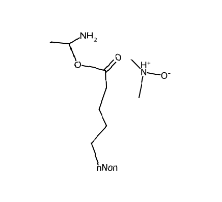 CCCCCCCCCCCCCC(=O)OC(C)N.C[NH+](C)[O-]